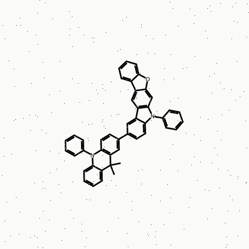 CC1(C)c2ccccc2N(c2ccccc2)c2ccc(-c3ccc4c(c3)c3cc5c(cc3n4-c3ccccc3)oc3ccccc35)cc21